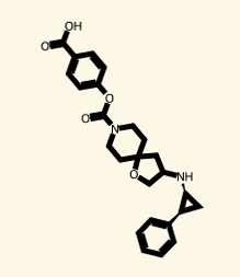 O=C(O)c1ccc(OC(=O)N2CCC3(CC2)CC(N[C@@H]2C[C@H]2c2ccccc2)CO3)cc1